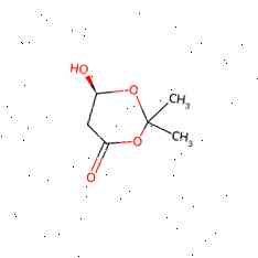 CC1(C)OC(=O)C[C@@H](O)O1